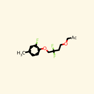 CC(=O)COCCC(F)(F)COc1ccc(C)cc1F